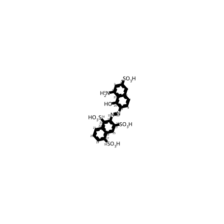 Nc1cc(S(=O)(=O)O)cc2ccc(N=Nc3c(S(=O)(=O)O)cc4c(S(=O)(=O)O)cccc4c3S(=O)(=O)O)c(O)c12